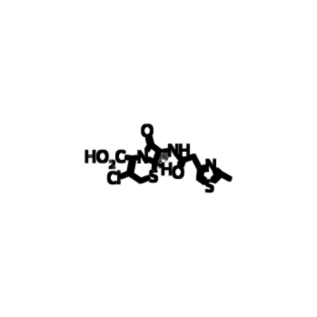 Cc1nc(CC(=O)N[C@@H]2C(=O)N3C(C(=O)O)=C(Cl)CS[C@H]23)cs1